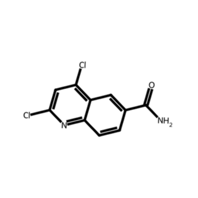 NC(=O)c1ccc2nc(Cl)cc(Cl)c2c1